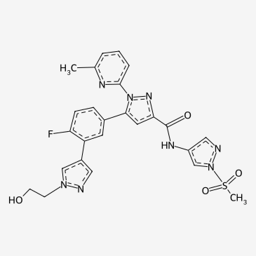 Cc1cccc(-n2nc(C(=O)Nc3cnn(S(C)(=O)=O)c3)cc2-c2ccc(F)c(-c3cnn(CCO)c3)c2)n1